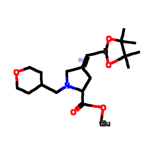 CC(C)(C)OC(=O)C1C/C(=C\B2OC(C)(C)C(C)(C)O2)CN1CC1CCOCC1